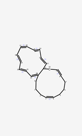 [CH]1CC/C=C\CCC/C=C\CC2/C=C/C=C/C=C\C=C\C=C\C=C\12